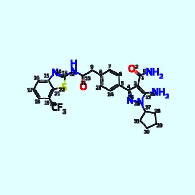 NC(=O)c1c(-c2ccc(CC(=O)Nc3nc4cccc(C(F)(F)F)c4s3)cc2)nn(C2CCCC2)c1N